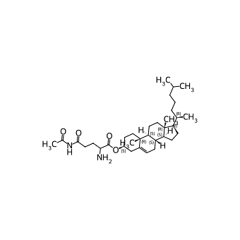 CC(=O)NC(=O)CCC(N)C(=O)O[C@H]1CC[C@@]2(C)C(=CC[C@H]3[C@@H]4CC[C@H]([C@H](C)CCCC(C)C)[C@@]4(C)CC[C@@H]32)C1